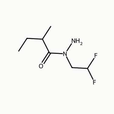 CCC(C)C(=O)N(N)CC(F)F